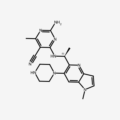 Cc1nc(N)nc(N[C@@H](C)c2nc3ccn(C)c3cc2N2CCNCC2)c1C#N